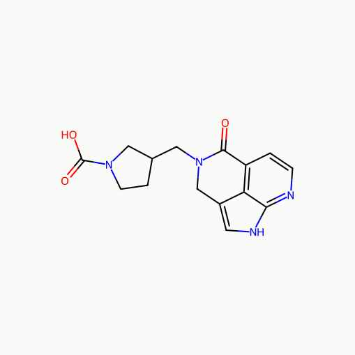 O=C(O)N1CCC(CN2Cc3c[nH]c4nccc(c34)C2=O)C1